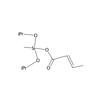 CC=CC(=O)O[Si](C)(OC(C)C)OC(C)C